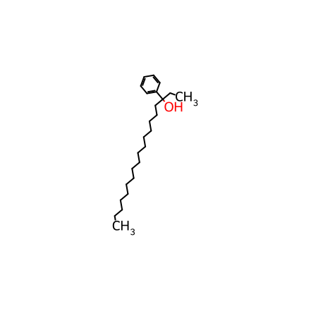 CCCCCCCCCCCCCCCCC(O)(CC)c1ccccc1